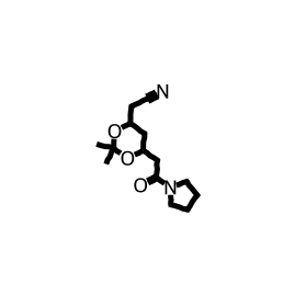 CC1(C)OC(CC#N)CC(CC(=O)N2CCCC2)O1